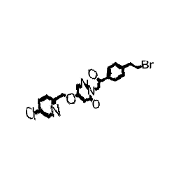 O=C(Cn1ncc(OCc2ccc(Cl)cn2)cc1=O)c1ccc(CCBr)cc1